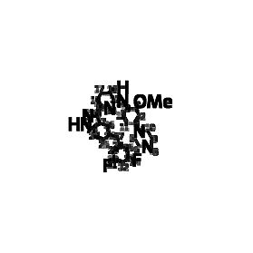 COc1cc(N2CCN(C)CC2)ccc1Nc1cccc(-c2n[nH]c3ccc(Cc4cc(F)cc(F)c4)cc23)n1